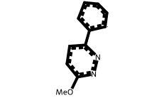 COc1ccc(-c2[c]cccc2)nn1